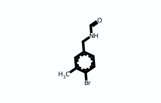 Cc1cc(CNC=O)ccc1Br